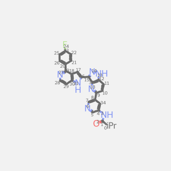 CC(C)C(=O)Nc1cncc(-c2ccc3[nH]nc(-c4cc5c(-c6ccc(F)cc6)nccc5[nH]4)c3n2)c1